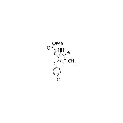 COC(=O)c1cc2c(Sc3ccc(Cl)cc3)cc(C)c(Br)c2[nH]1